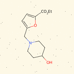 CCOC(=O)c1ccc(CN2CCC(O)CC2)o1